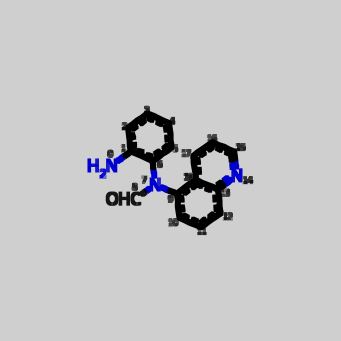 Nc1ccccc1N(C=O)c1cccc2ncccc12